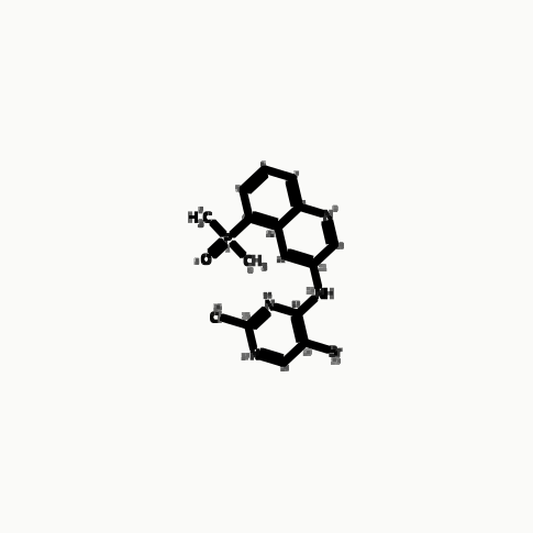 CP(C)(=O)c1cccc2ncc(Nc3nc(Cl)ncc3Br)cc12